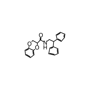 O=C(NCC(c1ccccc1)c1ccccc1)C1COc2ccccc2O1